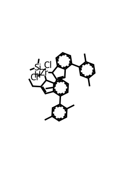 CCC1=Cc2c(-c3cc(C)ccc3C)cccc2[CH]1[Zr]([Cl])([Cl])([CH]1C(CC)=Cc2c(-c3cc(C)ccc3C)cccc21)[SiH](C)C